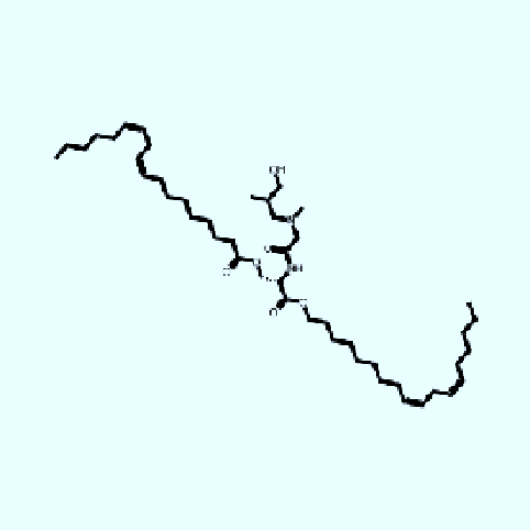 CCCCC/C=C\C/C=C\CCCCCCCCOC(=O)[C@H](COC(=O)CCCCCCC/C=C\C/C=C\CCCCC)NC(=O)CN(C)CC(C)CO